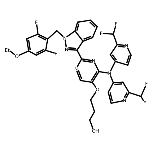 CCOc1cc(F)c(Cn2nc(-c3ncc(OCCCO)c(N(c4ccnc(C(F)F)c4)c4ccnc(C(F)F)c4)n3)c3ccccc32)c(F)c1